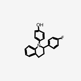 Oc1ccc(N2c3ccccc3CCC2c2ccc(F)cc2)cc1